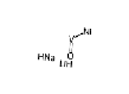 [LiH].[NaH].[O]=[V][Ni]